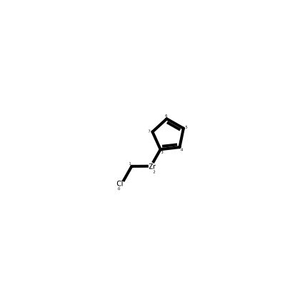 Cl[CH2][Zr][C]1=CC=CC1